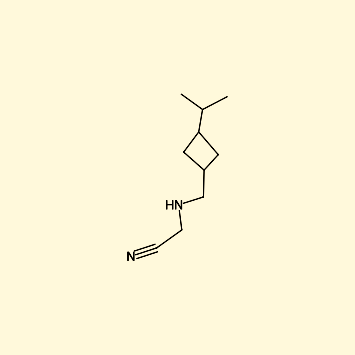 CC(C)C1CC(CNCC#N)C1